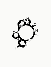 C[C@@H]1COc2ncc(F)cc2[C@@H]2CCON2C2C=Cn3ncc(c3N2)C(=O)N1